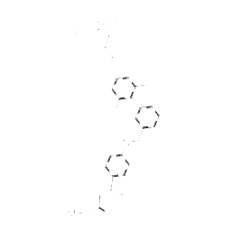 COC(=O)CC1COc2cc(NCc3cccc(-c4c(C)cc(OCCCP(C)(C)=O)cc4C)c3)ccc21